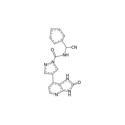 N#CC(NC(=O)n1cc(-c2ccnc3[nH]c(=O)[nH]c23)cn1)c1ccccc1